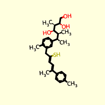 C/C(=C\C=C(/S)Cc1cc([C@H](C)[C@H](C)[C@@H](O)[C@H](C)[C@H](O)CO)ccc1C)c1ccc(C)cc1